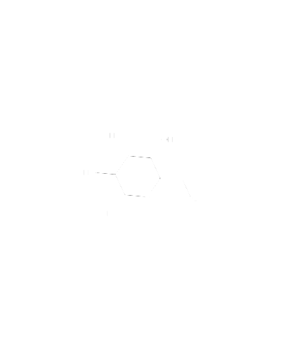 OC[C@@H]1O[C@H](O)C(O)[C@H](O)[C@@H]1O